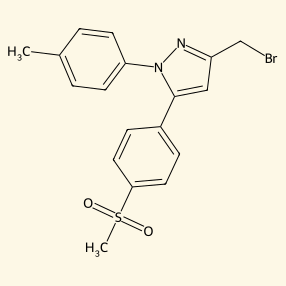 Cc1ccc(-n2nc(CBr)cc2-c2ccc(S(C)(=O)=O)cc2)cc1